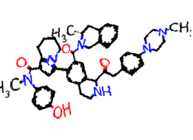 C[C@@H]1Cc2ccccc2CN1C(=O)c1cc2c(cc1-c1cc(C(=O)N(C)c3ccc(O)cc3)c3n1CCCC3)CCNC2C(=O)Cc1ccc(N2CCN(C)CC2)cc1